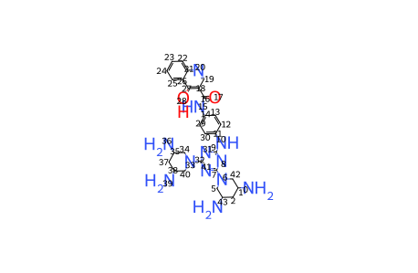 NC1CC(N)CN(c2nc(Nc3ccc(NC(=O)c4cnc5ccccc5c4O)cc3)nc(N3CC(N)CC(N)C3)n2)C1